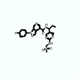 CCC(NC(=O)c1cncc2c1cnn2-c1ccc(F)cc1)c1cnc(NCS(C)(=O)=O)nc1